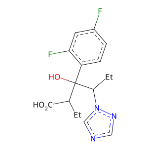 CCC(C(=O)O)C(O)(c1ccc(F)cc1F)C(CC)n1cncn1